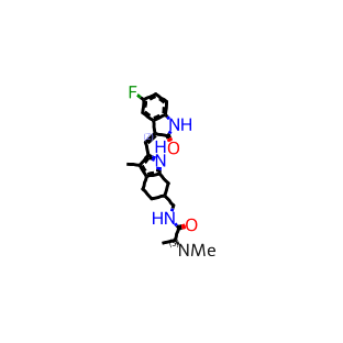 CN[C@@H](C)C(=O)NCC1CCc2c([nH]c(/C=C3\C(=O)Nc4ccc(F)cc43)c2C)C1